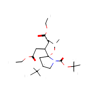 CCOC(=O)CC(CC(=O)OCC)[C@@]1(O[SiH](C)C)C[C@H](C(C)(C)C)CN1C(=O)OC(C)(C)C